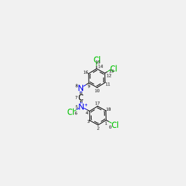 Clc1ccc([N+](Cl)=C=Nc2ccc(Cl)c(Cl)c2)cc1